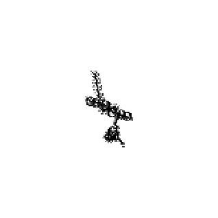 CC#CCCC(CCC#CC(OCOC)[C@H]1CC[C@H]([C@H]2CC[C@H]([C@@H](CCCCCCCCCC)OCOC)O2)O1)O[Si](C)(C)C(C)(C)C